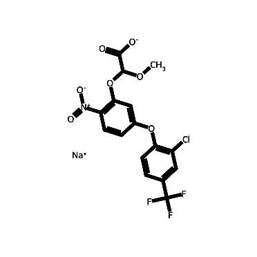 COC(Oc1cc(Oc2ccc(C(F)(F)F)cc2Cl)ccc1[N+](=O)[O-])C(=O)[O-].[Na+]